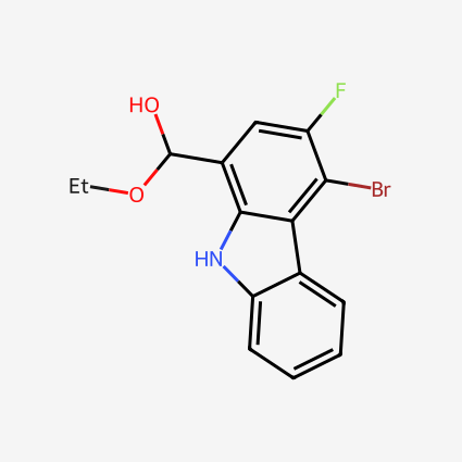 CCOC(O)c1cc(F)c(Br)c2c1[nH]c1ccccc12